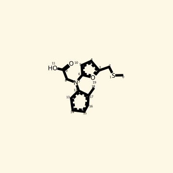 CSCc1ccc(N(CC(=O)O)c2ccccc2C)o1